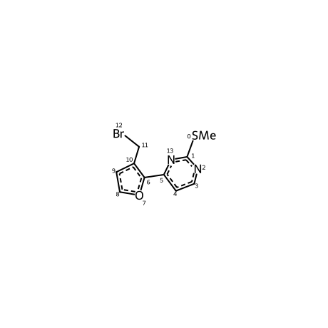 CSc1nccc(-c2occc2CBr)n1